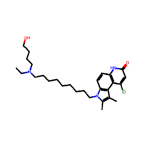 CCN(CCCCO)CCCCCCCCCn1c(C)c(C)c2c3c(Cl)cc(=O)[nH]c3ccc21